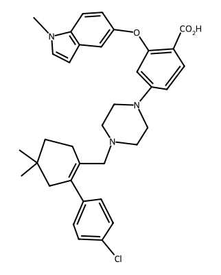 Cn1ccc2cc(Oc3cc(N4CCN(CC5=C(c6ccc(Cl)cc6)CC(C)(C)CC5)CC4)ccc3C(=O)O)ccc21